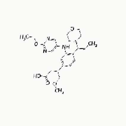 CCOc1ncc(Nc2cc(C(COC)CC(=O)O)ccc2[C@H](CC)N2CCOCC2)cn1